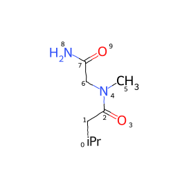 CC(C)CC(=O)N(C)CC(N)=O